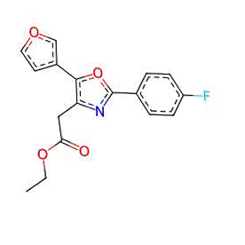 CCOC(=O)Cc1nc(-c2ccc(F)cc2)oc1-c1ccoc1